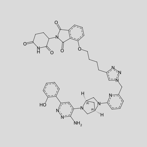 Nc1nnc(-c2ccccc2O)cc1N1C[C@H]2C[C@@H]1CN2c1cccc(Cn2cc(CCCCOc3cccc4c3C(=O)N(C3CCC(=O)NC3=O)C4=O)nn2)n1